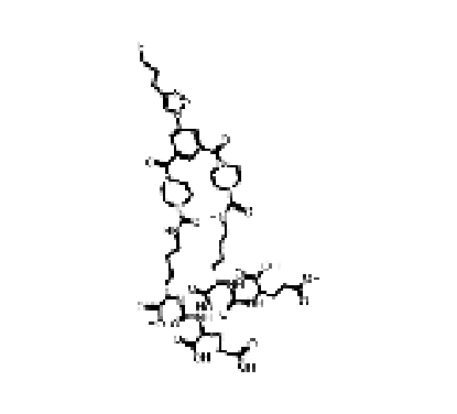 O=C(O)CCC(NC(=O)N[C@@H](CCCCNC(=O)N1CCN(C(=O)c2cc(C(=O)N3CCN(C(=O)NCCCC[C@H](NC(=O)NC(CCC(=O)O)C(=O)O)C(=O)O)CC3)cc(-n3cc(CCCF)nn3)c2)CC1)C(=O)O)C(=O)O